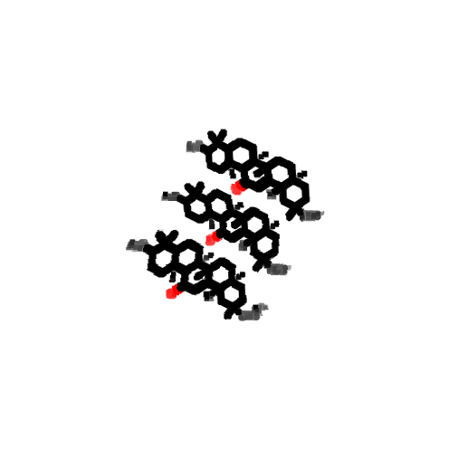 CC(=O)OC1CC[C@@]2(C)C(CC[C@]3(C)C2C(=O)C=C2[C@H]4CC(C)(C(=O)[O-])CC[C@]4(C)CC[C@]23C)C1(C)C.CC(=O)OC1CC[C@@]2(C)C(CC[C@]3(C)C2C(=O)C=C2[C@H]4CC(C)(C(=O)[O-])CC[C@]4(C)CC[C@]23C)C1(C)C.CC(=O)OC1CC[C@@]2(C)C(CC[C@]3(C)C2C(=O)C=C2[C@H]4CC(C)(C(=O)[O-])CC[C@]4(C)CC[C@]23C)C1(C)C.[Al+3]